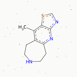 Cc1c2c(nc3ncsc13)CCNCC2